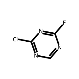 Fc1ncnc(Cl)n1